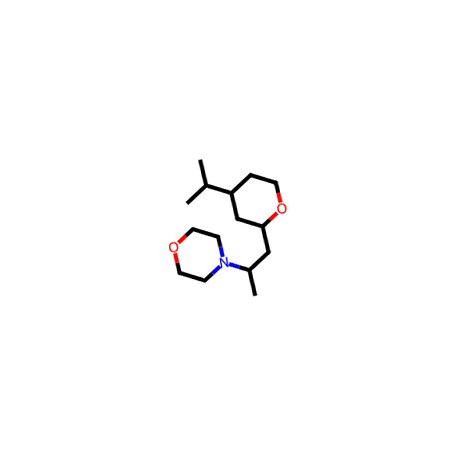 CC(C)C1CCOC(CC(C)N2CCOCC2)C1